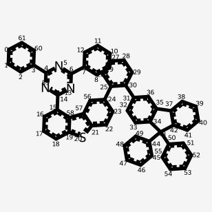 c1ccc(-c2nc(-c3ccccc3)nc(-c3cccc4sc5ccc(-c6ccccc6-c6ccc7c(c6)-c6ccccc6C7(c6ccccc6)c6ccccc6)cc5c34)n2)cc1